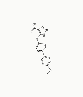 COc1ccc(-c2ccc(Oc3[nH]nnc3C(=O)O)cc2)cn1